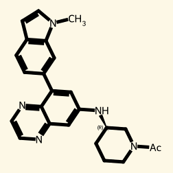 CC(=O)N1CCC[C@@H](Nc2cc(-c3ccc4ccn(C)c4c3)c3nccnc3c2)C1